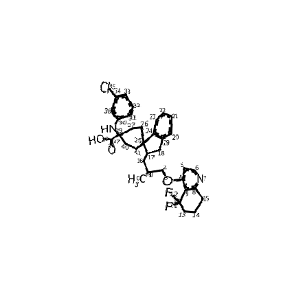 C[C@@H](COc1ccnc2c1C(F)(F)CCC2)CC1Cc2ccccc2C12CCC(Nc1cccc(Cl)c1)(C(=O)O)CC2